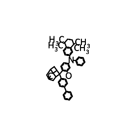 CC1(C)CCC(C)(C)c2cc(N(c3ccccc3)c3ccc4c(c3)Oc3cc(-c5ccccc5)ccc3C43C4CC5CC6CC3C64C5)ccc21